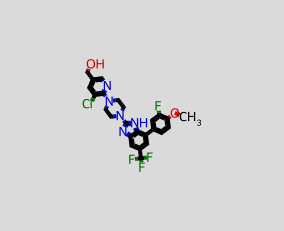 COc1ccc(-c2cc(C(F)(F)F)cc3nc(N4CCN(c5ncc(CO)cc5Cl)CC4)[nH]c23)cc1F